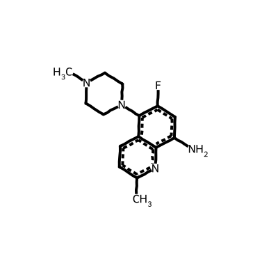 Cc1ccc2c(N3CCN(C)CC3)c(F)cc(N)c2n1